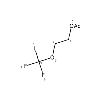 CC(=O)OCCOC(F)(F)I